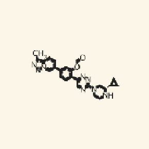 Cc1nnn2cc(-c3ccc(-c4cnc(N5CCN[C@@H](C6CC6)C5)nn4)c(OC=O)c3)ccc12